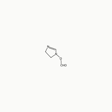 O=CON1C=NCC1